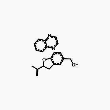 C=C(C)C1Cc2cc(CO)ccc2O1.c1ccc2nccnc2c1